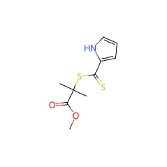 COC(=O)C(C)(C)SC(=S)c1ccc[nH]1